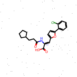 O=C(CCC1CCCC1)N/C(=C\c1ccc(-c2ccccc2Cl)o1)C(=O)O